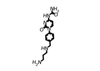 NCCCNCc1ccc(-n2ccc(NC(N)=O)nc2=O)cc1